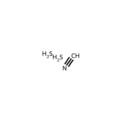 C#N.S.S